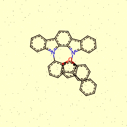 c1ccc(-c2cccc(-n3c4ccccc4c4ccc5c6ccccc6n(-c6cccc7c6oc6ccccc67)c5c43)c2)cc1